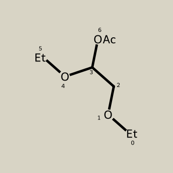 [CH2]COCC(OCC)OC(C)=O